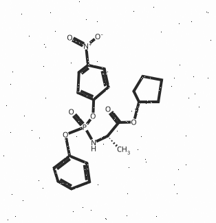 C[C@H](NP(=O)(Oc1ccccc1)Oc1ccc([N+](=O)[O-])cc1)C(=O)OC1CCCC1